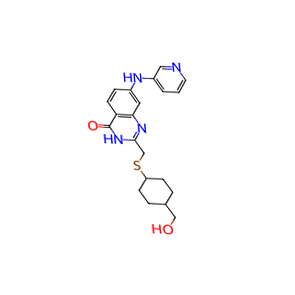 O=c1[nH]c(CSC2CCC(CO)CC2)nc2cc(Nc3cccnc3)ccc12